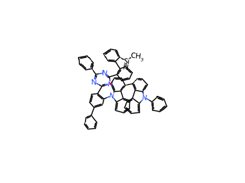 C[SiH]1c2ccccc2-c2c(-c3nc(-c4ccccc4)nc(-c4ccc(-c5ccccc5)cc4-n4c5ccccc5c5c(-c6cccc7c6c6ccccc6n7-c6ccccc6)cccc54)n3)cccc21